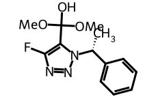 COC(O)(OC)c1c(F)nnn1[C@H](C)c1ccccc1